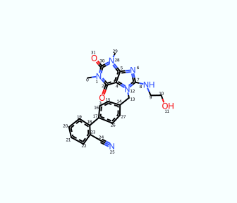 Cn1c(=O)c2c(nc(NCCO)n2Cc2ccc(-c3ccccc3C#N)cc2)n(C)c1=O